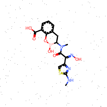 CNc1nc(C(=NO)C(=O)N(C)C2Cc3cccc(C(=O)O)c3OB2O)cs1